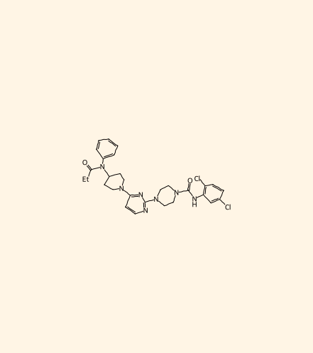 CCC(=O)N(c1ccccc1)C1CCN(c2ccnc(N3CCN(C(=O)Nc4cc(Cl)ccc4Cl)CC3)n2)CC1